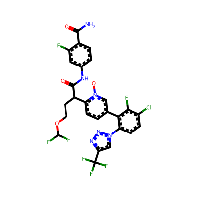 NC(=O)c1ccc(NC(=O)C(CCOC(F)F)c2ccc(-c3c(-n4cc(C(F)(F)F)nn4)ccc(Cl)c3F)c[n+]2[O-])cc1F